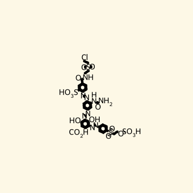 NC(=O)Nc1cc(N=Nc2c(O)cc(C(=O)O)c(N=Nc3ccc(S(=O)(=O)CCOS(=O)(=O)O)cc3)c2O)ccc1N=Nc1ccc(C(=O)NCCS(=O)(=O)CCCl)cc1S(=O)(=O)O